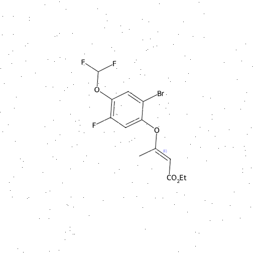 CCOC(=O)/C=C(\C)Oc1cc(F)c(OC(F)F)cc1Br